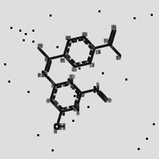 C=Nc1nc(O)cc(/N=C(/C)c2ccc(C(=C)C)cc2)n1